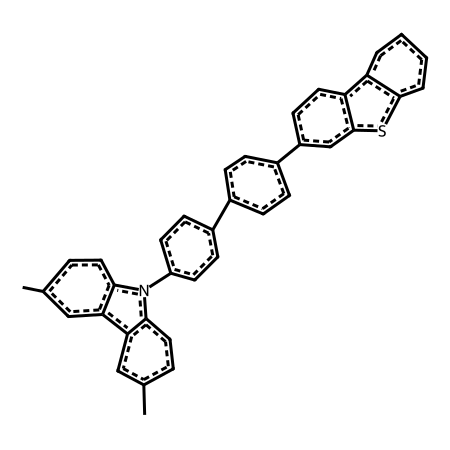 Cc1ccc2c(c1)c1cc(C)ccc1n2-c1ccc(-c2ccc(-c3ccc4c(c3)sc3ccccc34)cc2)cc1